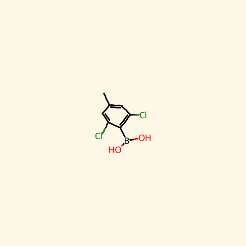 Cc1cc(Cl)c(B(O)O)c(Cl)c1